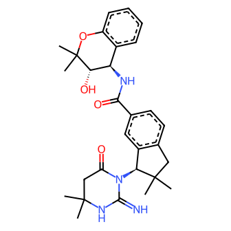 CC1(C)CC(=O)N([C@H]2c3cc(C(=O)N[C@@H]4c5ccccc5OC(C)(C)[C@H]4O)ccc3CC2(C)C)C(=N)N1